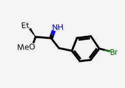 CC[C@H](OC)C(=N)Cc1ccc(Br)cc1